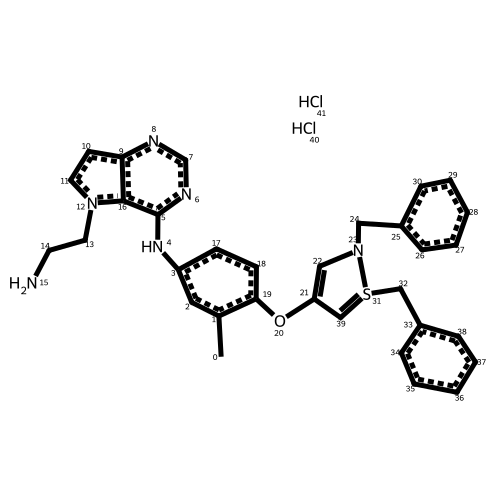 Cc1cc(Nc2ncnc3ccn(CCN)c23)ccc1OC1=CN(Cc2ccccc2)S(Cc2ccccc2)=C1.Cl.Cl